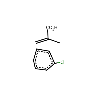 C=C(C)C(=O)O.Clc1cc[c]cc1